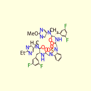 CCc1ncc(N(C)C(=O)[C@H](Cc2cc(F)cc(F)c2)NC(=O)CN2c3ccccc3N(CC(=O)N[C@@H](Cc3cc(F)cc(F)c3)C(=O)N(C)c3cnc(OC)nc3)S2(=O)=O)cn1